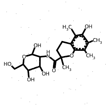 Cc1c(C)c2c(c(C)c1O)CCC(C)(C(=O)NC1C(O)OC(CO)C(O)C1O)O2